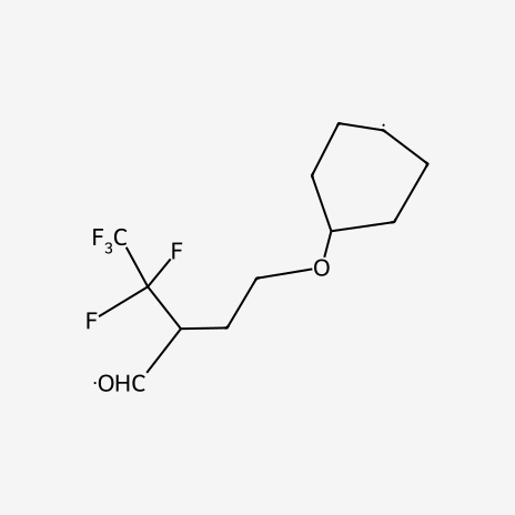 O=[C]C(CCOC1CC[CH]CC1)C(F)(F)C(F)(F)F